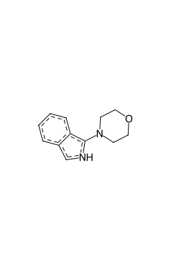 c1ccc2c(N3CCOCC3)[nH]cc2c1